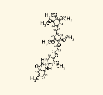 COc1cc(C2NC(=O)c3cc(C)ccc3N2)ccc1OCCCOc1c(OC)cc(C=Cc2cc(OC)c(OC)c(OC)c2)cc1OC